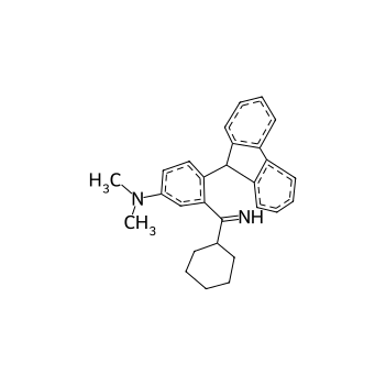 CN(C)c1ccc(C2c3ccccc3-c3ccccc32)c(C(=N)C2CCCCC2)c1